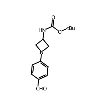 CC(C)(C)OC(=O)NC1CN(c2ccc(C=O)cc2)C1